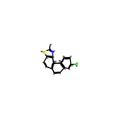 Cc1nc2c(ccc3ccc4cc(Cl)ccc4c32)s1